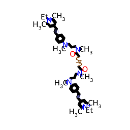 CCN1C(C)=CC(/C=C/c2ccc(N(C)CCCN(C)C(=O)CSSCC(=O)N(C)CCCN(C)c3ccc(/C=C/c4cc(C)[n+](CC)c(C)c4)cc3)cc2)=CC1C